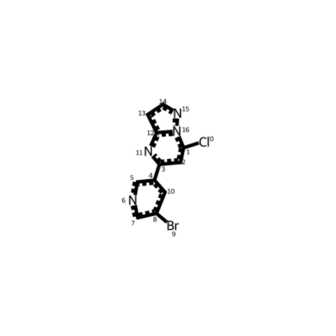 Clc1cc(-c2cncc(Br)c2)nc2ccnn12